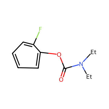 CCN(CC)C(=O)Oc1ccccc1F